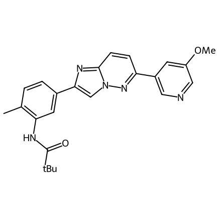 COc1cncc(-c2ccc3nc(-c4ccc(C)c(NC(=O)C(C)(C)C)c4)cn3n2)c1